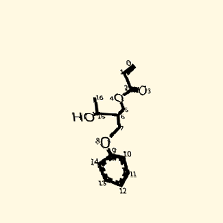 C=CC(=O)OCC(COc1ccccc1)C(C)O